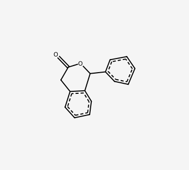 O=C1Cc2ccccc2C(c2ccccc2)O1